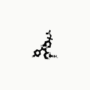 CN(C)CC(C)(C)c1ccn2c(-c3ccnc(N)n3)c(-c3ccc(F)cc3)nc2c1